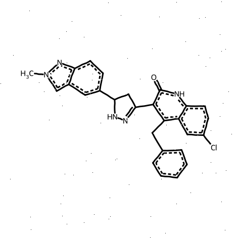 Cn1cc2cc(C3CC(c4c(Cc5ccccc5)c5cc(Cl)ccc5[nH]c4=O)=NN3)ccc2n1